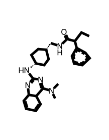 CCC(C(=O)NC[C@H]1CC[C@@H](NC2=NC3C=CC=CC3C(N(C)C)=N2)CC1)c1ccccc1